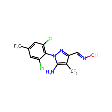 Nc1c(C(F)(F)F)c(/C=N/O)nn1-c1c(Cl)cc(C(F)(F)F)cc1Cl